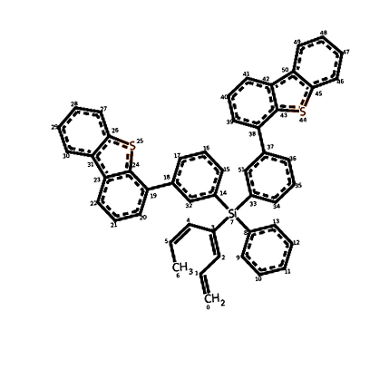 C=C/C=C(\C=C/C)[Si](c1ccccc1)(c1cccc(-c2cccc3c2sc2ccccc23)c1)c1cccc(-c2cccc3c2sc2ccccc23)c1